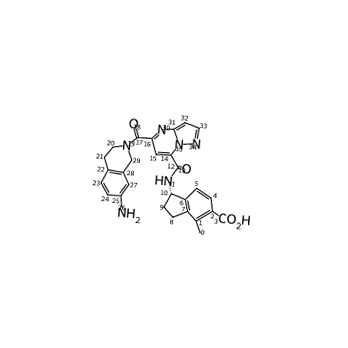 Cc1c(C(=O)O)ccc2c1CC[C@@H]2NC(=O)c1cc(C(=O)N2CCc3ccc(N)cc3C2)nc2ccnn12